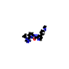 C=C/N=C\C=C/C(C)c1ccnc(C(=O)Nc2cccc(-c3nncn3C3CC3)n2)c1